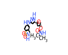 CC(C)NC(=O)O[C@@H]1CO[C@H](c2cc(Nc3ccc4c(c3)CNS4(=O)=O)n[nH]2)C1